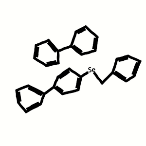 c1ccc(-c2ccccc2)cc1.c1ccc(C[Se]c2ccc(-c3ccccc3)cc2)cc1